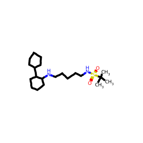 CC(C)(C)S(=O)(=O)NCCCCCNC1CCCCC1C1CCCCC1